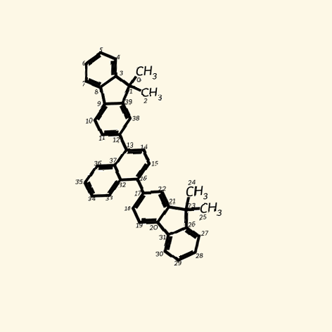 CC1(C)c2ccccc2-c2ccc(-c3ccc(-c4ccc5c(c4)C(C)(C)c4ccccc4-5)c4ccccc34)cc21